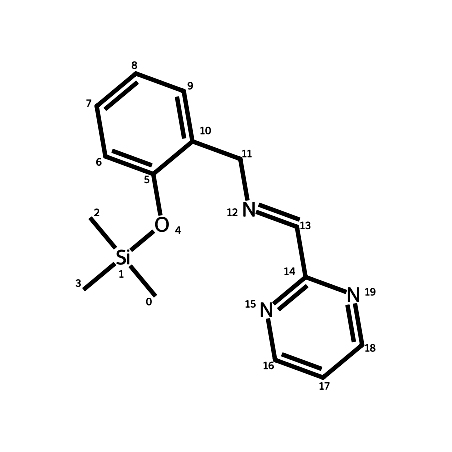 C[Si](C)(C)Oc1ccccc1CN=Cc1ncccn1